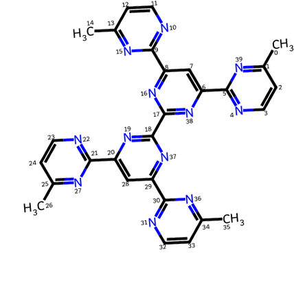 Cc1ccnc(-c2cc(-c3nccc(C)n3)nc(-c3nc(-c4nccc(C)n4)cc(-c4nccc(C)n4)n3)n2)n1